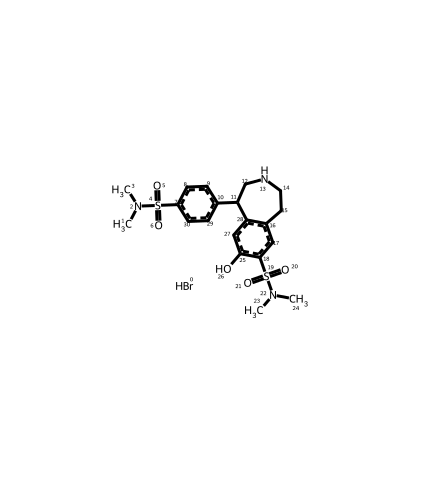 Br.CN(C)S(=O)(=O)c1ccc(C2CNCCc3cc(S(=O)(=O)N(C)C)c(O)cc32)cc1